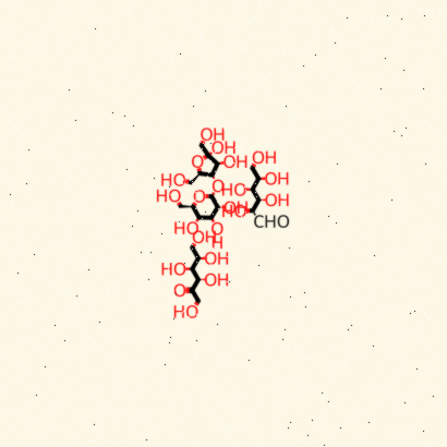 O=C(CO)[C@@H](O)[C@@H](O)[C@H](O)CO.O=C[C@H](O)[C@@H](O)[C@@H](O)[C@H](O)CO.OC[C@H]1O[C@@H](O[C@@H]2[C@@H](CO)O[C@](O)(CO)[C@H]2O)[C@H](O)[C@@H](O)[C@H]1O